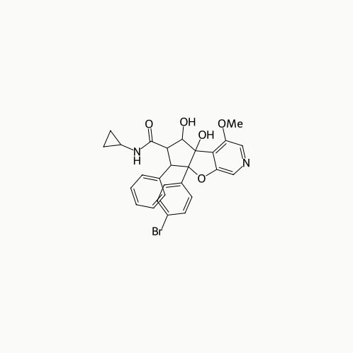 COc1cncc2c1C1(O)C(O)C(C(=O)NC3CC3)C(c3ccccc3)C1(c1ccc(Br)cc1)O2